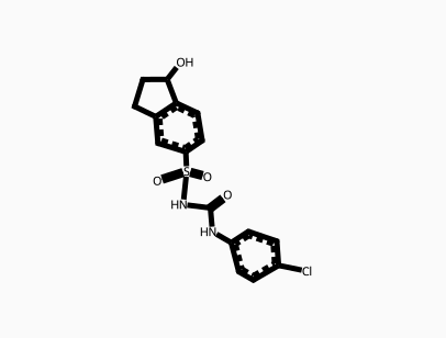 O=C(Nc1ccc(Cl)cc1)NS(=O)(=O)c1ccc2c(c1)CCC2O